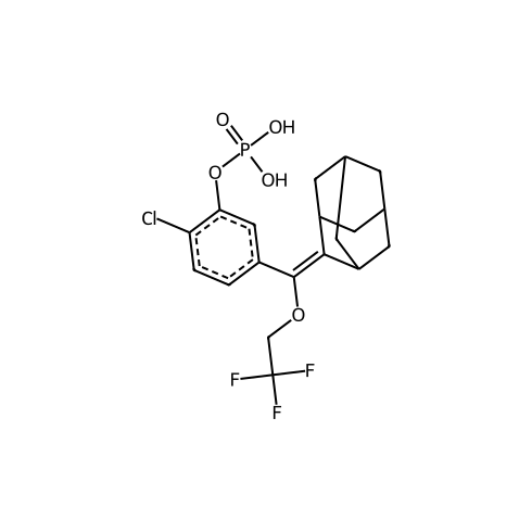 O=P(O)(O)Oc1cc(C(OCC(F)(F)F)=C2C3CC4CC(C3)CC2C4)ccc1Cl